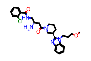 COCCCn1c([C@@H]2CCCN(C(=O)C[C@H](N)CNC(=O)c3ccccc3Cl)C2)nc2ccccc21